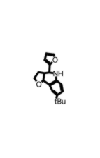 CC(C)(C)c1ccc2c(c1)C1OCCC1C(c1ccco1)N2